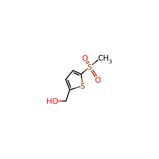 CS(=O)(=O)c1ccc(CO)s1